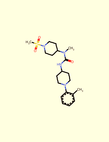 Cc1ccccc1N1CCC(NC(=O)N(C)C2CCN(S(C)(=O)=O)CC2)CC1